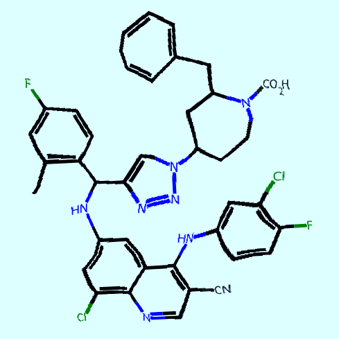 Cc1cc(F)ccc1C(Nc1cc(Cl)c2ncc(C#N)c(Nc3ccc(F)c(Cl)c3)c2c1)c1cn(C2CCN(C(=O)O)C(Cc3ccccc3)C2)nn1